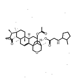 CC(=O)O[C@@H]1C[C@]23COC[C@@](C)([C@@H]2CC[C@H]2C3=CC[C@@]3(C)[C@H](C(=O)O)[C@@](C)([C@H](C)C(C)C)CC[C@]23C)[C@H]1OC(=O)CNC1CCCC1C